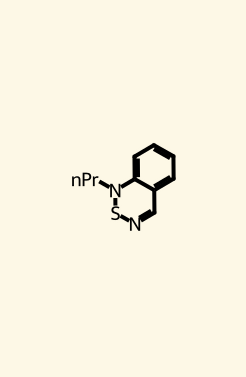 CCCN1SN=Cc2ccccc21